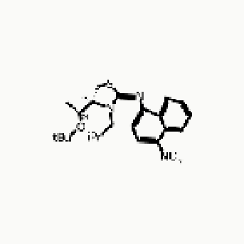 CC(C)CN1C(=Nc2ccc([N+](=O)[O-])c3ccccc23)SC[C@H]1[C@H](C)OC(C)(C)C